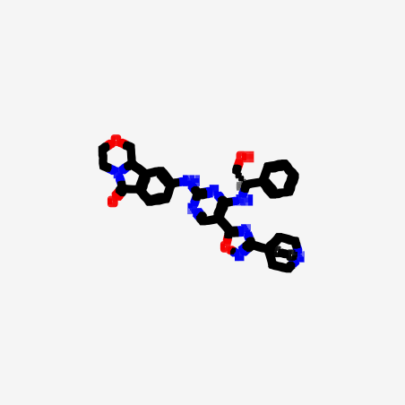 O=C1c2ccc(Nc3ncc(-c4nc(C56CCN(CC5)CC6)no4)c(N[C@H](CO)c4ccccc4)n3)cc2C2COCCN12